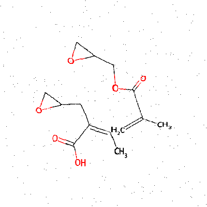 C=C(C)C(=O)OCC1CO1.CC=C(CC1CO1)C(=O)O